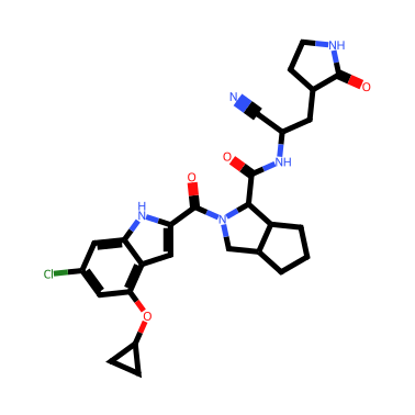 N#CC(CC1CCNC1=O)NC(=O)C1C2CCCC2CN1C(=O)c1cc2c(OC3CC3)cc(Cl)cc2[nH]1